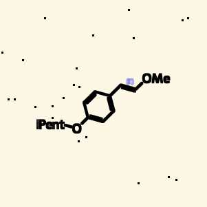 CCCC(C)Oc1ccc(/C=C/OC)cc1